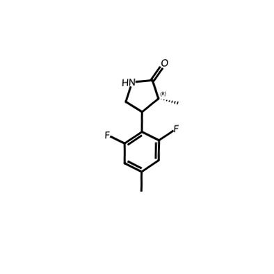 Cc1cc(F)c(C2CNC(=O)[C@@H]2C)c(F)c1